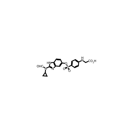 O=CN(c1nc2cc(OS(=O)(=O)c3ccc(NCC(=O)O)cc3)ccc2[nH]1)C1CC1